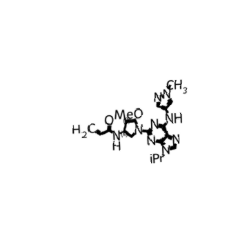 C=CC(=O)N[C@@H]1CN(c2nc(Nc3cnn(C)c3)c3ncn(C(C)C)c3n2)C[C@H]1OC